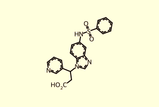 O=C(O)CC(c1cccnc1)n1cnc2cc(NS(=O)(=O)c3ccccc3)ccc21